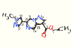 CCOC(=O)c1cnn2cc(-c3cnn(C)c3)ncc12